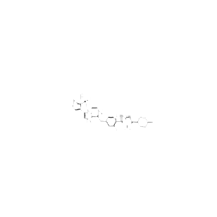 Cc1cc(Cc2nccn3c(C4=CCN=C4C(F)(F)F)cnc23)ccc1C(=O)N[C@H](C)C(=O)C1CCC(C)CC1